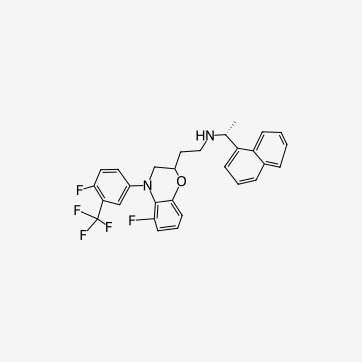 C[C@@H](NCCC1CN(c2ccc(F)c(C(F)(F)F)c2)c2c(F)cccc2O1)c1cccc2ccccc12